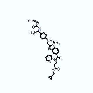 CCCCCCOC(=O)/N=C(\N)c1ccc(NCc2nc3cc(C(=O)N(CCC(=O)OCC4CC4)c4ccccn4)ccc3n2C)cc1